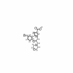 COC(=O)c1cn2c(n1)-c1cc(Br)ccc1OC(CN1CCOCC1)C2